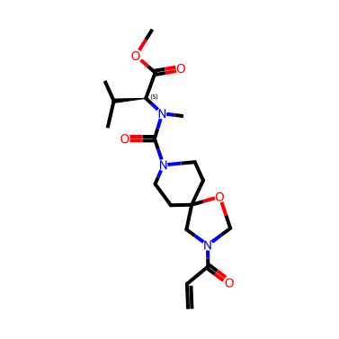 C=CC(=O)N1COC2(CCN(C(=O)N(C)[C@H](C(=O)OC)C(C)C)CC2)C1